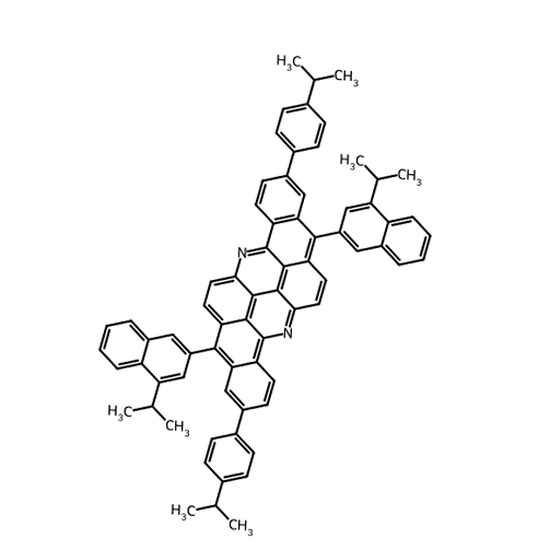 CC(C)c1ccc(-c2ccc3c(c2)c(-c2cc(C(C)C)c4ccccc4c2)c2ccc4nc5c6ccc(-c7ccc(C(C)C)cc7)cc6c(-c6cc(C(C)C)c7ccccc7c6)c6ccc7nc3c2c4c7c65)cc1